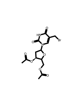 CC(=O)OCC1OC(n2cc(CBr)c(=O)[nH]c2=O)C[C@@H]1OC(C)=O